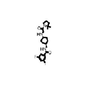 CC1(C)CCCN1C(=O)CN[C@H]1CC[C@@H](CNC(=O)c2cc(F)cc(I)c2)CC1